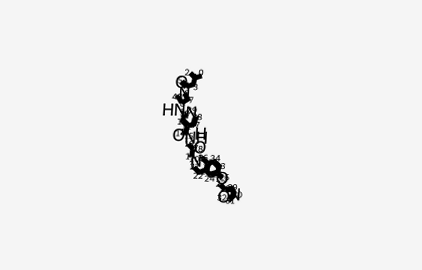 CC(C)CC(=O)N1CC(Nc2cc(C(=O)NCC(O)CN3CCc4cc(OCc5cnco5)ccc4C3)ccn2)C1